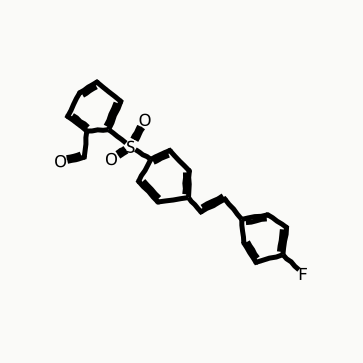 O=Cc1ccccc1S(=O)(=O)c1ccc(/C=C/c2ccc(F)cc2)cc1